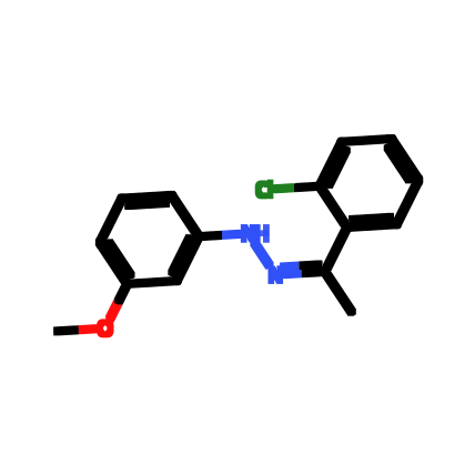 COc1cccc(NN=C(C)c2ccccc2Cl)c1